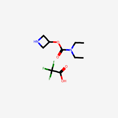 CCN(CC)C(=O)OC1CNC1.O=C(O)C(F)(F)F